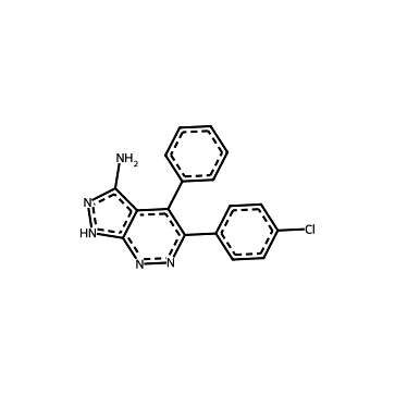 Nc1n[nH]c2nnc(-c3ccc(Cl)cc3)c(-c3ccccc3)c12